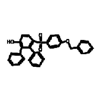 O=S(=O)(c1ccc(OCc2ccccc2)cc1)c1ccc(O)c(-c2ccccc2)c1-c1ccccc1